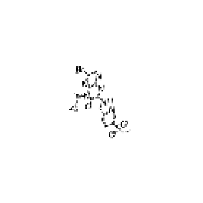 CCS(=O)(=O)c1ccc(CNc2nc3ncc(Br)nc3n([C@@H](C)C3CC3)c2=O)nc1